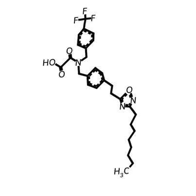 CCCCCCCCc1noc(CCc2ccc(CN(Cc3ccc(C(F)(F)F)cc3)C(=O)C(=O)O)cc2)n1